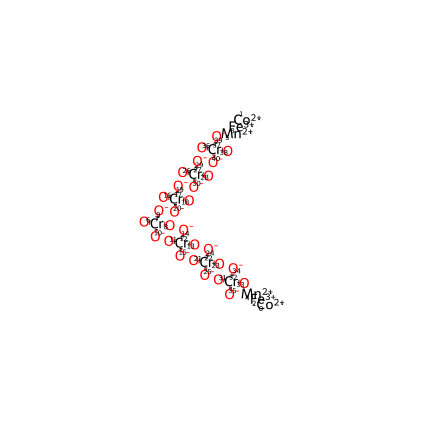 [Co+2].[Co+2].[Fe+3].[Fe+3].[Mn+2].[Mn+2].[O]=[Cr](=[O])([O-])[O-].[O]=[Cr](=[O])([O-])[O-].[O]=[Cr](=[O])([O-])[O-].[O]=[Cr](=[O])([O-])[O-].[O]=[Cr](=[O])([O-])[O-].[O]=[Cr](=[O])([O-])[O-].[O]=[Cr](=[O])([O-])[O-]